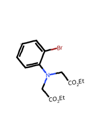 CCOC(=O)CN(CC(=O)OCC)c1cc[c]cc1Br